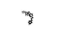 CC(C)(C)OC(=O)N[C@@H]1CCCN(CCCc2ccccc2)C1